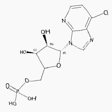 O=P(O)(O)OCC1O[C@@H](n2cnc3c(Cl)ccnc32)[C@H](O)[C@@H]1O